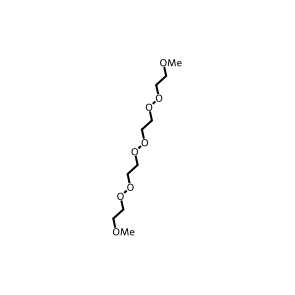 COCCOOCCOOCCOOCCOC